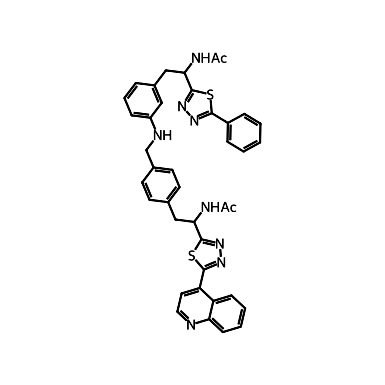 CC(=O)NC(Cc1cccc(NCc2ccc(CC(NC(C)=O)c3nnc(-c4ccnc5ccccc45)s3)cc2)c1)c1nnc(-c2ccccc2)s1